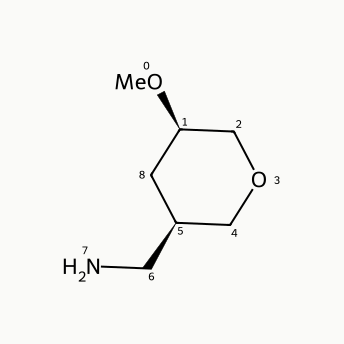 CO[C@H]1COC[C@@H](CN)C1